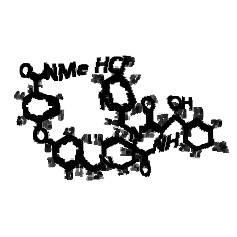 CNC(=O)c1ccc(Oc2ccc(CN3CCC4(CC3)C(=O)N[C@H]([C@H](O)C3CCCCC3)C(=O)N4Cc3ccccn3)cc2)cc1.Cl